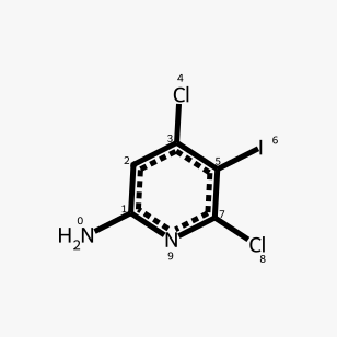 Nc1cc(Cl)c(I)c(Cl)n1